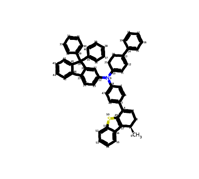 C[C@@H]1CC=C(c2ccc(N(C3=CC=C(c4ccccc4)CC3)c3ccc4c(c3)C(c3ccccc3)(c3ccccc3)c3ccccc3-4)cc2)c2sc3ccccc3c21